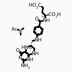 CC(=O)N(C)C.Nc1nc(=O)c2c([nH]1)NC[C@@H](CNc1ccc(C(=O)N[C@@H](CCC(=O)O)C(=O)O)cc1)N2